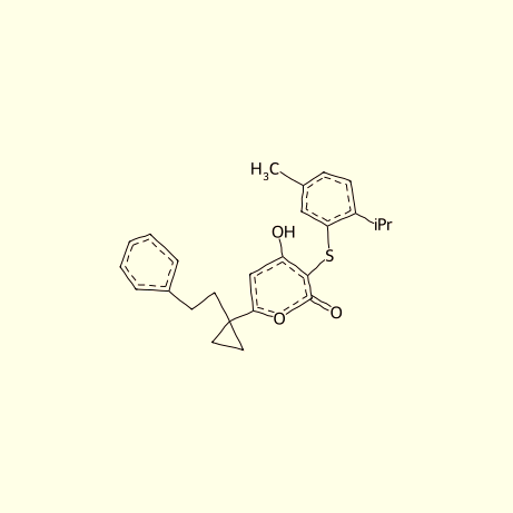 Cc1ccc(C(C)C)c(Sc2c(O)cc(C3(CCc4ccccc4)CC3)oc2=O)c1